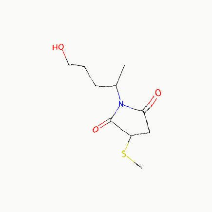 CSC1CC(=O)N(C(C)CCCO)C1=O